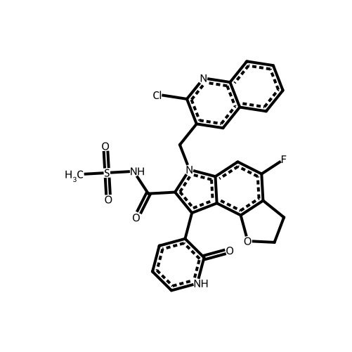 CS(=O)(=O)NC(=O)c1c(-c2ccc[nH]c2=O)c2c3c(c(F)cc2n1Cc1cc2ccccc2nc1Cl)CCO3